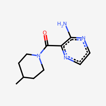 CC1CCN(C(=O)c2nccnc2N)CC1